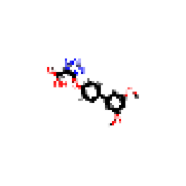 COc1cc(OC)cc(-c2ccc(Oc3[nH]nnc3C(=O)O)cc2)c1